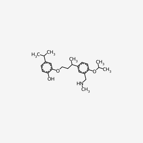 CNCc1cc(C(C)CCOc2cc(C(C)C)ccc2O)ccc1OC(C)C